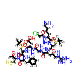 CC(=O)[C@H](CS)NC(=O)[C@H](Cc1ccccc1)NC(=O)[C@H](CSC(C)(C)C)NC(=O)[C@H](CC(=O)O)NC(=O)CNC(=O)[C@H](CCCNC(=N)N)NC(=O)[C@H](CSC(C)(C)C)NC(=O)[C@H](CCCCN)NC(=O)CCl